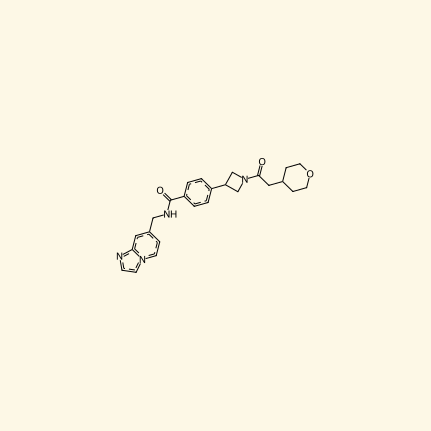 O=C(NCc1ccn2ccnc2c1)c1ccc(C2CN(C(=O)CC3CCOCC3)C2)cc1